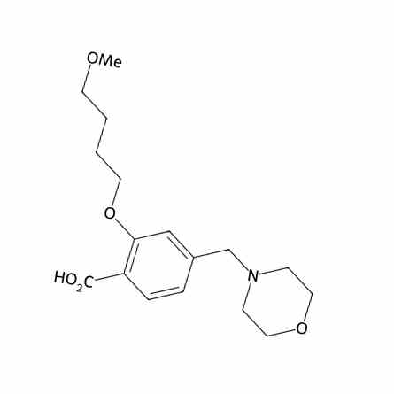 COCCCCOc1cc(CN2CCOCC2)ccc1C(=O)O